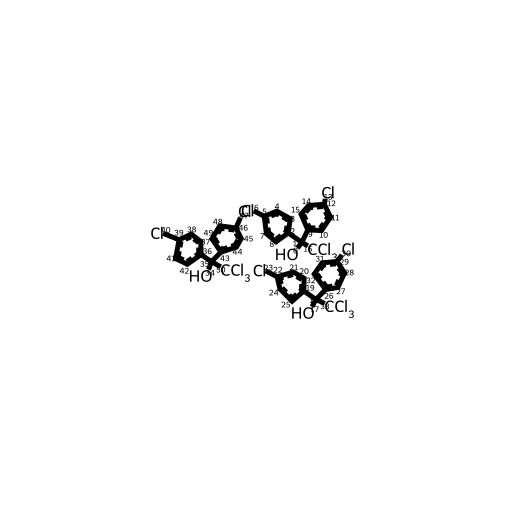 OC(c1ccc(Cl)cc1)(c1ccc(Cl)cc1)C(Cl)(Cl)Cl.OC(c1ccc(Cl)cc1)(c1ccc(Cl)cc1)C(Cl)(Cl)Cl.OC(c1ccc(Cl)cc1)(c1ccc(Cl)cc1)C(Cl)(Cl)Cl